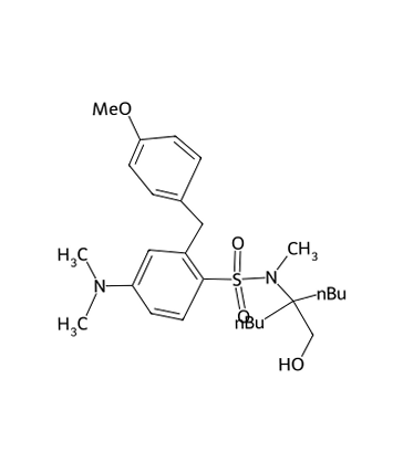 CCCCC(CO)(CCCC)N(C)S(=O)(=O)c1ccc(N(C)C)cc1Cc1ccc(OC)cc1